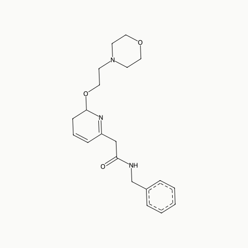 O=C(CC1=NC(OCCN2CCOCC2)CC=C1)NCc1ccccc1